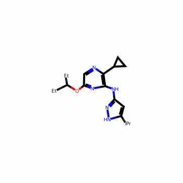 CCC(CC)Oc1cnc(C2CC2)c(Nc2cc(C(C)C)[nH]n2)n1